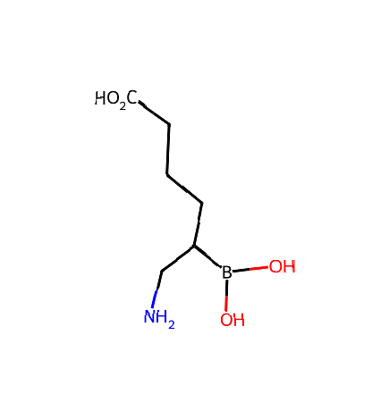 NCC(CCCC(=O)O)B(O)O